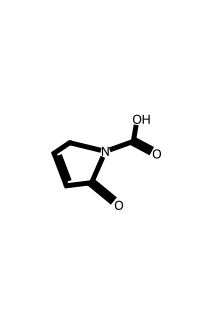 O=C(O)N1CC=CC1=O